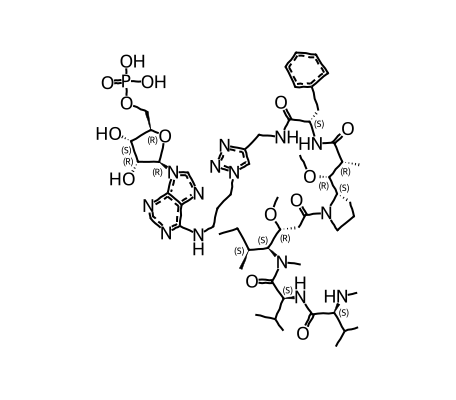 CC[C@H](C)[C@@H]([C@@H](CC(=O)N1CCC[C@H]1[C@H](OC)[C@@H](C)C(=O)N[C@@H](Cc1ccccc1)C(=O)NCc1cn(CCCNc2ncnc3c2ncn3[C@@H]2O[C@H](COP(=O)(O)O)[C@@H](O)[C@H]2O)nn1)OC)N(C)C(=O)[C@@H](NC(=O)[C@@H](NC)C(C)C)C(C)C